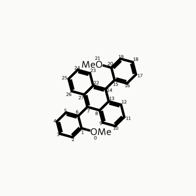 COc1ccccc1-c1c2ccccc2c(-c2ccccc2OC)c2ccccc12